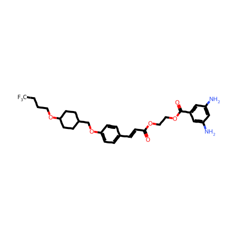 Nc1cc(N)cc(C(=O)OCCOC(=O)C=Cc2ccc(OCC3CCC(OCCCC(F)(F)F)CC3)cc2)c1